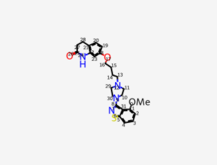 COc1cccc2snc(N3CCN(CCCCOc4ccc5c(c4)NC(=O)CC5)CC3)c12